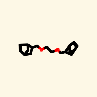 C1=CC2CC1CC2COCCOCC1CC2C=CC1C2